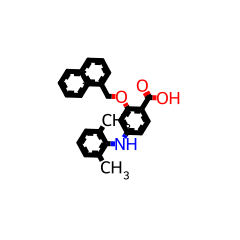 Cc1cccc(C)c1Nc1ccc(C(=O)O)c(OCc2cccc3ccccc23)c1